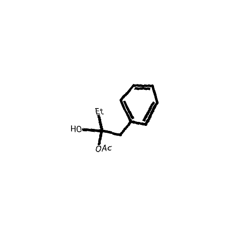 CCC(O)(Cc1ccccc1)OC(C)=O